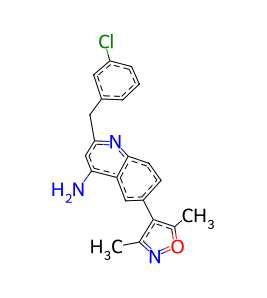 Cc1noc(C)c1-c1ccc2nc(Cc3cccc(Cl)c3)cc(N)c2c1